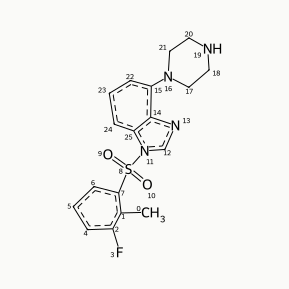 Cc1c(F)cccc1S(=O)(=O)n1cnc2c(N3CCNCC3)cccc21